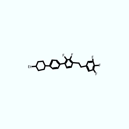 CCC1CCC(c2ccc(-c3ccc(CCc4cc(F)c(F)c(F)c4)c(F)c3F)cc2)CC1